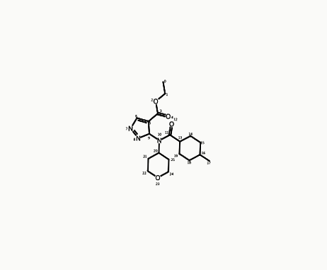 CCOC(=O)C1=CN=NC1N(C(=O)C1CCC(C)CC1)C1CCOCC1